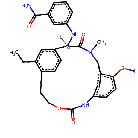 CCc1cc2ccc1CCOC(=O)Nc1ccc(SI)c(c1)CN(C)C(=O)[C@@H]2Nc1cccc(C(N)=O)c1